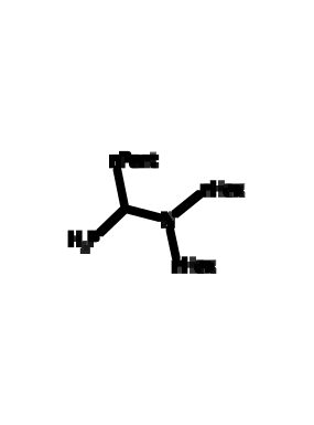 CCCCCCN(CCCCCC)C(P)CCCCC